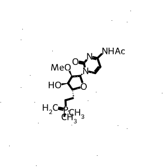 C=P(C)(C)CC[C@H]1O[C@@H](n2ccc(NC(C)=O)nc2=O)[C@H](OC)[C@@H]1O